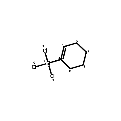 Cl[Si](Cl)(Cl)C1=CCCCC1